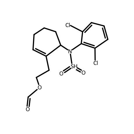 O=COCCC1=CCCCC1N(c1c(Cl)cccc1Cl)[SH](=O)=O